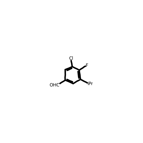 CC(C)c1cc(C=O)cc(Cl)c1F